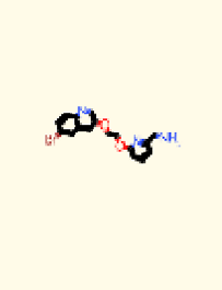 NCc1cccc(OCCOc2cnc3ccc(Br)cc3c2)n1